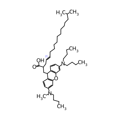 CCCCN(C)c1ccc2c(c1)Oc1cc(N(CCCC)CCCC)ccc1C2CC(C/C=C/CCCCCCCCCCC(C)C)C(=O)O